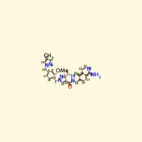 COCc1nn(Cc2ccc(Cn3cc(C)cn3)cc2)cc1C(=O)NCc1ccc2c(N)nccc2c1F